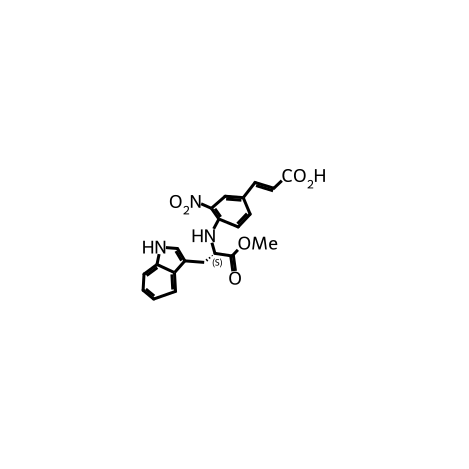 COC(=O)[C@H](Cc1c[nH]c2ccccc12)Nc1ccc(C=CC(=O)O)cc1[N+](=O)[O-]